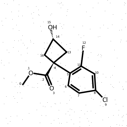 COC(=O)[C@]1(c2ccc(Cl)cc2F)C[C@@H](O)C1